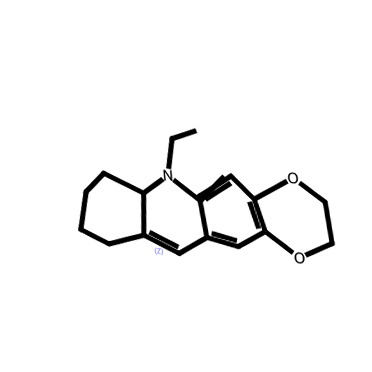 CCN(CC)C1CCCC/C1=C/c1ccc2c(c1)OCCO2